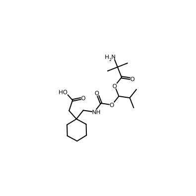 CC(C)C(OC(=O)NCC1(CC(=O)O)CCCCC1)OC(=O)C(C)(C)N